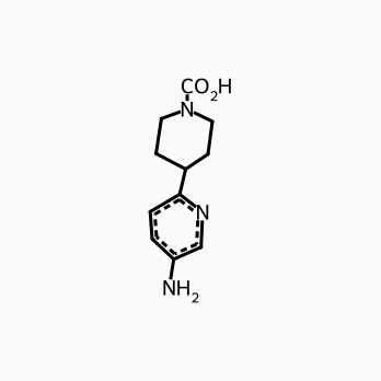 Nc1ccc(C2CCN(C(=O)O)CC2)nc1